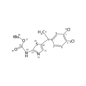 CC(c1ccc(Cl)c(Cl)c1)c1cnc(NC(=O)OC(C)(C)C)s1